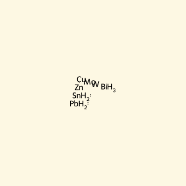 [BiH3].[Cu].[Mo].[PbH2].[SnH2].[W].[Zn]